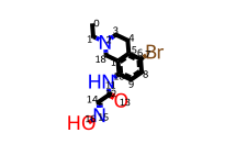 CCN1CCc2c(Br)ccc(NC(=O)/C=N/O)c2C1